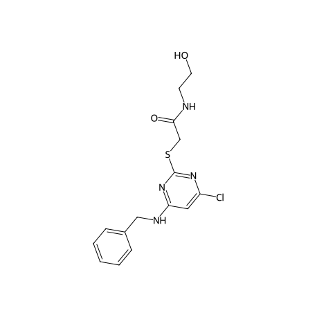 O=C(CSc1nc(Cl)cc(NCc2ccccc2)n1)NCCO